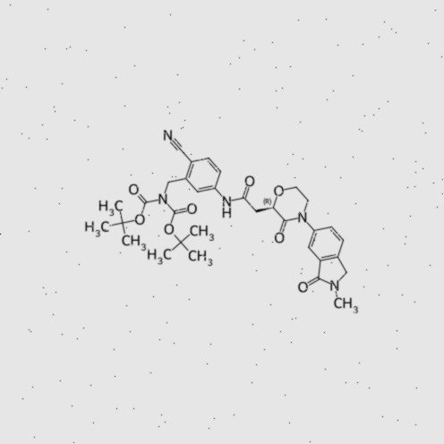 CN1Cc2ccc(N3CCO[C@H](CC(=O)Nc4ccc(C#N)c(CN(C(=O)OC(C)(C)C)C(=O)OC(C)(C)C)c4)C3=O)cc2C1=O